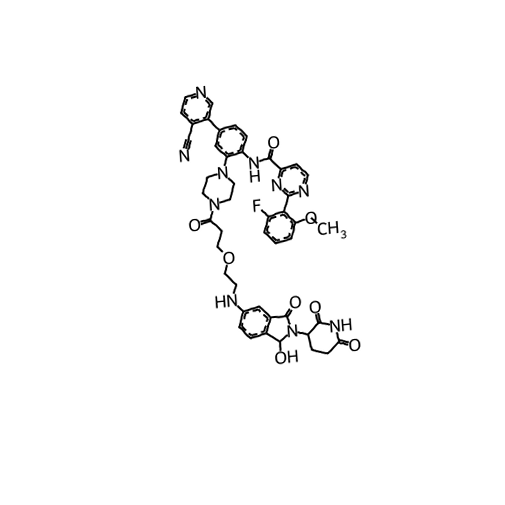 COc1cccc(F)c1-c1nccc(C(=O)Nc2ccc(-c3cnccc3C#N)cc2N2CCN(C(=O)CCOCCNc3ccc4c(c3)C(=O)N(C3CCC(=O)NC3=O)C4O)CC2)n1